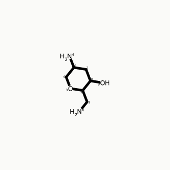 NCC1OCC(N)CC1O